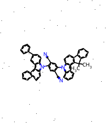 CC1(C)c2ccccc2-c2ccc3c(c21)c1ccccc1n3-c1cc(C#N)c(-n2c3ccc(-c4ccccc4)cc3c3c4ccccc4ccc32)cc1C#N